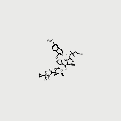 C=C[C@@H]1C[C@]1(NC(=O)[C@@H]1C[C@@H](Oc2nccc3cc(OC)ccc23)CN1C(=O)[C@@H](NC(=O)NC(C)(C)CC(C)(C)C)C(C)(C)C)C(=O)NS(=O)(=O)C1CC1